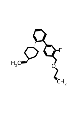 C=CCOCc1ccc(-c2ccccc2[C@H]2CC[C@H](C=C)CC2)cc1F